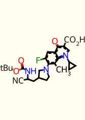 Cc1c(N2CCC(CC(C#N)NC(=O)OC(C)(C)C)C2)c(F)cc2c(=O)c(C(=O)O)cn(C3CC3)c12